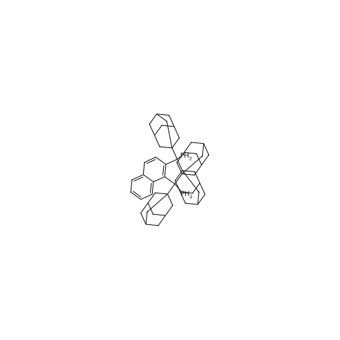 PC(c1ccc2ccccc2c1C(P)(C12CC3CC(CC(C3)C1)C2)C12CC3CC(CC(C3)C1)C2)(C12CC3CC(CC(C3)C1)C2)C12CC3CC(CC(C3)C1)C2